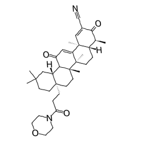 C[C@@H]1C(=O)C(C#N)=C[C@]2(C)C3=CC(=O)C4[C@H]5CC(C)(C)CC[C@]5(CCC(=O)N5CCOCC5)CC[C@@]4(C)[C@]3(C)CC[C@@H]12